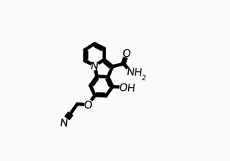 N#CCOc1cc(O)c2c(C(N)=O)c3ccccn3c2c1